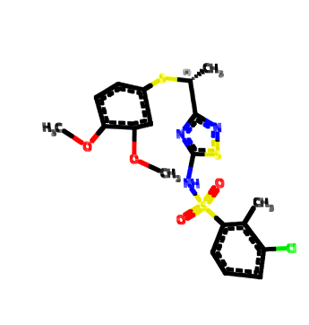 COc1ccc(S[C@H](C)c2nsc(NS(=O)(=O)c3cccc(Cl)c3C)n2)cc1OC